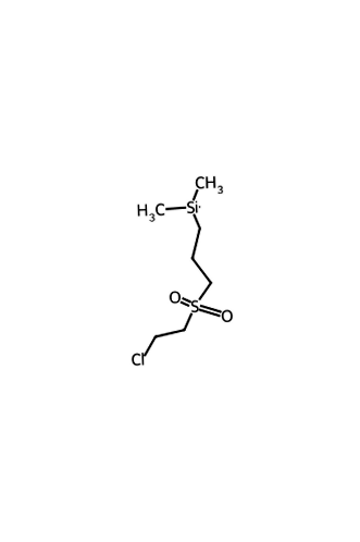 C[Si](C)CCCS(=O)(=O)CCCl